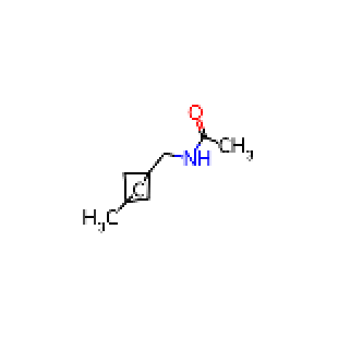 CC(=O)NCC12CC(C)(C1)C2